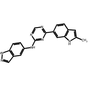 Cc1cc2ccc(-c3ncnc(Nc4ccc5[nH]ncc5c4)n3)cc2[nH]1